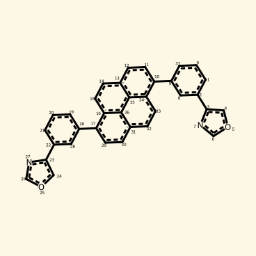 c1cc(-c2cocn2)cc(-c2ccc3ccc4c(-c5cccc(-c6cocn6)c5)ccc5ccc2c3c54)c1